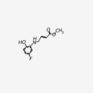 COC(=O)/C=C/CNc1cc(F)ccc1O